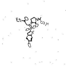 CCC(=O)CN([C@H]1CCN([C@@H](C)C(=O)O)C1=O)S(=O)(=O)c1cc2cc(Cl)ccc2s1